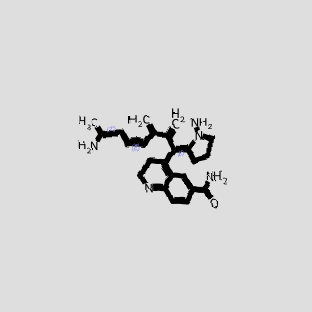 C=C(/C=C\C=C(\C)N)C(=C)/C(C1=c2cc(C(N)=O)ccc2=NCC1)=C1/CCCN1N